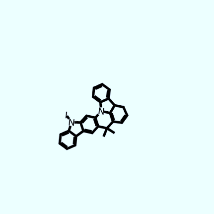 CC1(C)C2=C3C(CC=C2)c2ccccc2N3c2cc3c(cc21)c1ccccc1n3I